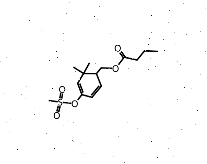 CCCC(=O)OCC1C=CC(OS(C)(=O)=O)=CC1(C)C